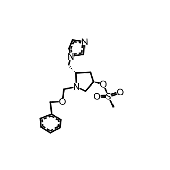 CS(=O)(=O)O[C@@H]1C[C@@H](Cn2ccnc2)N(COCc2ccccc2)C1